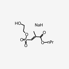 CCCOC(=O)C(C)=CS(=O)(=O)OCCO.[NaH]